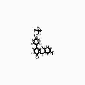 Cc1ncc(F)cc1Cn1nc(-c2cnc(OCC(F)(F)F)nc2)ccc1=O